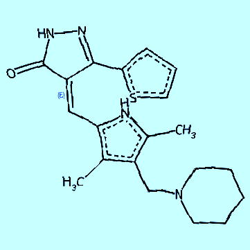 Cc1[nH]c(/C=C2/C(=O)NN=C2c2cccs2)c(C)c1CN1CCCCC1